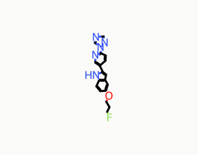 FCCCOc1ccc2[nH]c(-c3ccc(-n4cncn4)nc3)cc2c1